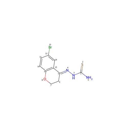 NC(=S)N/N=C1\CCOc2ccc(Br)cc21